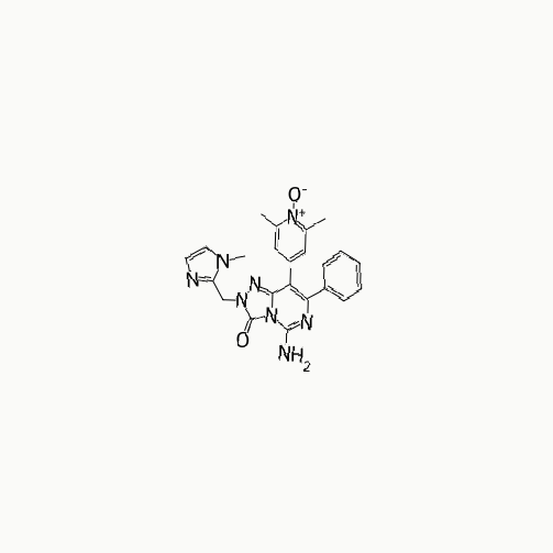 Cc1cc(-c2c(-c3ccccc3)nc(N)n3c(=O)n(Cc4nccn4C)nc23)cc(C)[n+]1[O-]